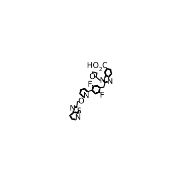 O=C(O)c1ccc2nc(Cc3cc(F)c(-c4cccc(OCc5nc6cccnc6s5)n4)cc3F)n(CC3CCO3)c2c1